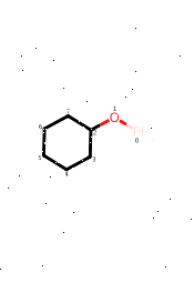 BOC1CCCCC1